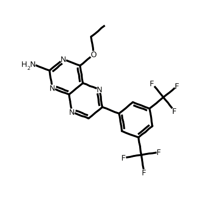 CCOc1nc(N)nc2ncc(-c3cc(C(F)(F)F)cc(C(F)(F)F)c3)nc12